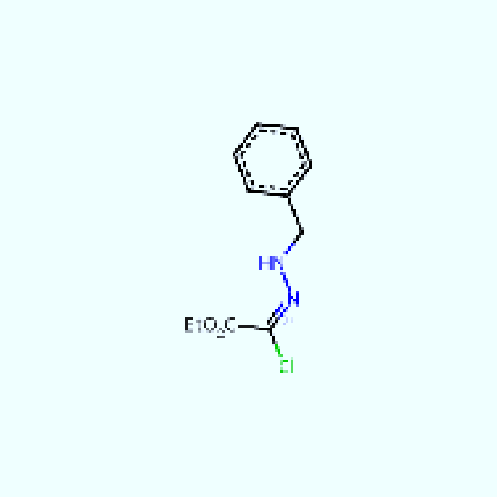 CCOC(=O)/C(Cl)=N\NCc1ccccc1